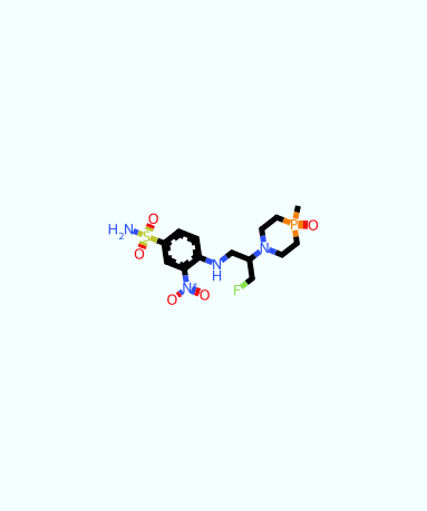 CP1(=O)CCN(C(CF)CNc2ccc(S(N)(=O)=O)cc2[N+](=O)[O-])CC1